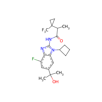 CC(C(=O)Nc1nc2c(F)cc(C(C)(C)O)cc2n1C1CCC1)C1(C(F)(F)F)CC1